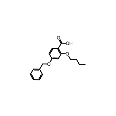 CCCCOc1cc(OCc2ccccc2)ccc1C(=O)O